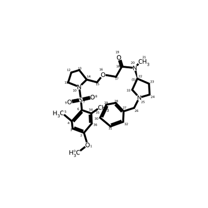 COc1cc(C)c(S(=O)(=O)N2CCCC2COCC(=O)N(C)[C@H]2CCN(Cc3ccccc3)C2)c(C)c1